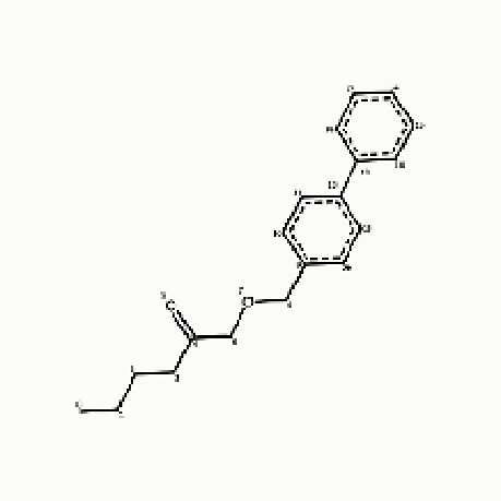 CCCCC(=O)COCc1ccc(-c2ccccc2)cc1